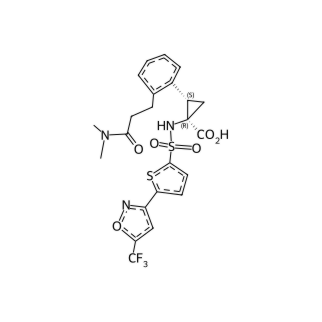 CN(C)C(=O)CCc1ccccc1[C@@H]1C[C@]1(NS(=O)(=O)c1ccc(-c2cc(C(F)(F)F)on2)s1)C(=O)O